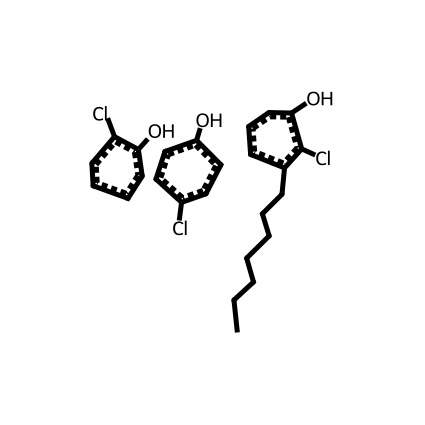 CCCCCCCc1cccc(O)c1Cl.Oc1ccc(Cl)cc1.Oc1ccccc1Cl